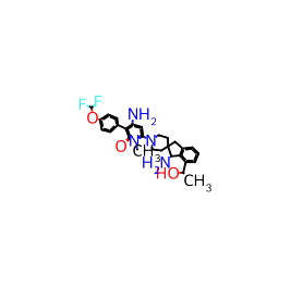 CC(O)c1cccc2c1[C@@H](N)C1(CCN(c3cc(N)c(-c4ccc(OC(F)F)cc4)c(=O)n3C)CC1)C2